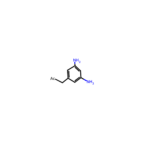 CC(=O)Cc1cc(N)cc(N)c1